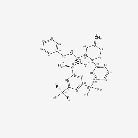 C=C1CC[C@@](CO[C@H](C)c2cc(C(F)(F)F)cc(C(F)(F)F)c2)(c2ccccc2)N(C(=O)OCc2ccccc2)C1